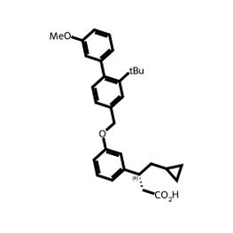 COc1cccc(-c2ccc(COc3cccc([C@@H](CC(=O)O)CC4CC4)c3)cc2C(C)(C)C)c1